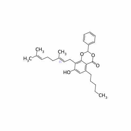 CCCCCc1cc(O)c(C/C=C(\C)CCC=C(C)C)c2c1C(=O)OC(c1ccccc1)O2